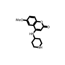 COc1ccc2oc(=O)cc(NC3CCNCC3)c2c1